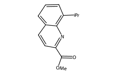 COC(=O)c1ccc2cccc(C(C)C)c2n1